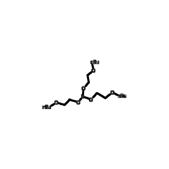 CCCCOCCOB(OCCOCCCC)OCCOCCCC